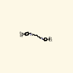 CCN(CC)c1ccc(/C=N/CCCCCC/N=C/c2ccc(N(CC)CC)cc2)cc1